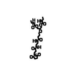 CCNC(=O)OCC(COC(=O)NCC)OCCCC(=O)NCCNC(=O)CCN1C(=O)CCC1=O